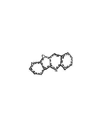 c1ccc2nc3c(cc2c1)oc1ncccc13